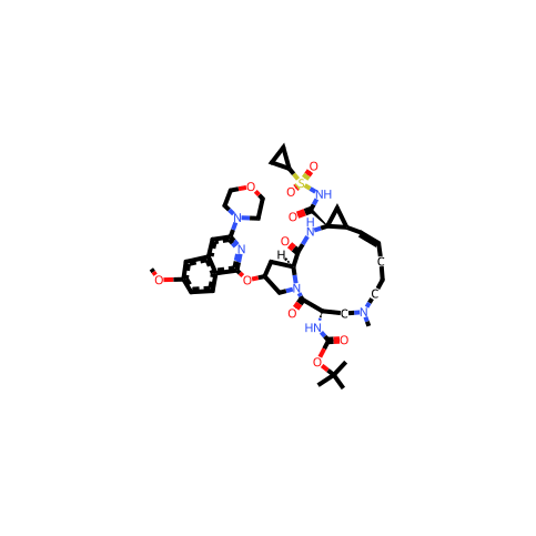 COc1ccc2c(OC3C[C@H]4C(=O)N[C@]5(C(=O)NS(=O)(=O)C6CC6)CC5/C=C\CCCN(C)C[C@H](NC(=O)OC(C)(C)C)C(=O)N4C3)nc(N3CCOCC3)cc2c1